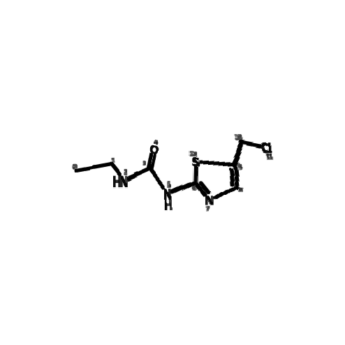 CCNC(=O)Nc1ncc(CCl)s1